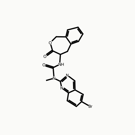 CN(C(=O)NC1Cc2ccccc2COC1=O)c1ncc2cc(Br)ccc2n1